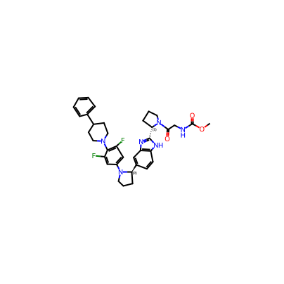 COC(=O)NCC(=O)N1CCC[C@H]1c1nc2cc([C@H]3CCCN3c3cc(F)c(N4CCC(c5ccccc5)CC4)c(F)c3)ccc2[nH]1